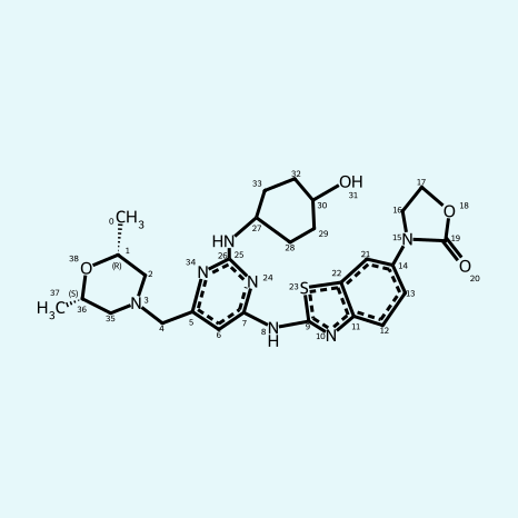 C[C@@H]1CN(Cc2cc(Nc3nc4ccc(N5CCOC5=O)cc4s3)nc(NC3CCC(O)CC3)n2)C[C@H](C)O1